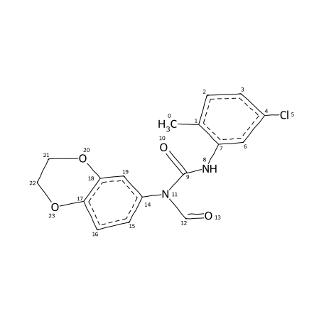 Cc1ccc(Cl)cc1NC(=O)N(C=O)c1ccc2c(c1)OCCO2